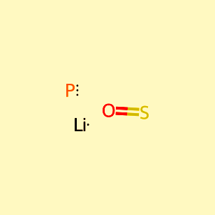 O=S.[Li].[P]